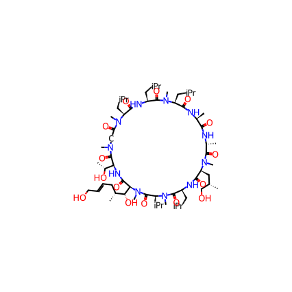 CC(C)C[C@@H]1NC(=O)[C@H](C[C@H](C)CO)N(C)C(=O)[C@@H](C)NC(=O)[C@H](C)NC(=O)[C@H](CC(C)C)N(C)C(=O)[C@H](CC(C)C)NC(=O)[C@H](CC(C)C)N(C)C(=O)CN(C)C(=O)[C@H]([C@@H](C)O)NC(=O)[C@H]([C@H](O)[C@H](C)C/C=C/CO)N(C)C(=O)[C@H](C(C)C)N(C)C1=O